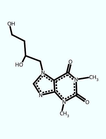 Cn1c(=O)c2c(ncn2CC(O)CCO)n(C)c1=O